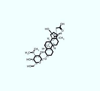 CN(C)[C@@H]1[C@@H](O)[C@H](O[C@H]2CC[C@@]3(C)[C@H](CC[C@@H]4[C@@H]3CC[C@]3(C)[C@@H]5CC[C@]43O[C@@H](O)[C@H]5CC(=O)O)C2)O[C@H](CO)[C@H]1O